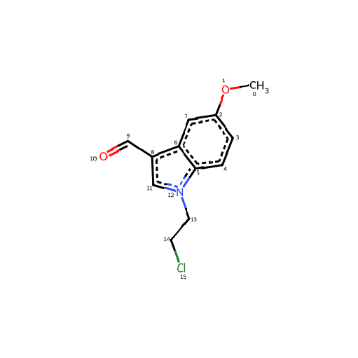 COc1ccc2c(c1)c(C=O)cn2CCCl